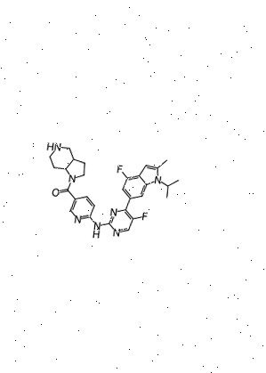 Cc1cc2c(F)cc(-c3nc(Nc4ccc(C(=O)N5CCC6CNCCC65)cn4)ncc3F)cc2n1C(C)C